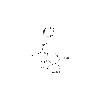 CNC(=O)[C@@H]1CNCc2[nH]c3ccc(OCc4ccccc4)cc3c21.Cl